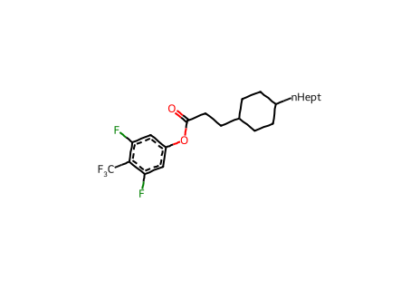 CCCCCCCC1CCC(CCC(=O)Oc2cc(F)c(C(F)(F)F)c(F)c2)CC1